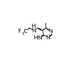 CC1=NC=NC(=N)/C1=C\NCC(F)(F)F